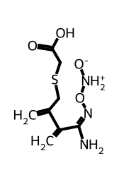 C=C(CSCC(=O)O)C(=C)/C(N)=N\O[NH2+][O-]